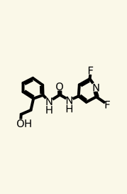 O=C(Nc1cc(F)nc(F)c1)Nc1ccccc1CCO